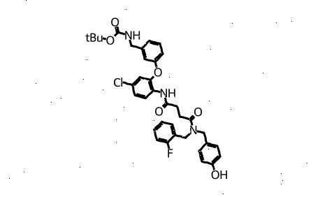 CC(C)(C)OC(=O)NCc1cccc(Oc2cc(Cl)ccc2NC(=O)CCC(=O)N(Cc2ccc(O)cc2)Cc2ccccc2F)c1